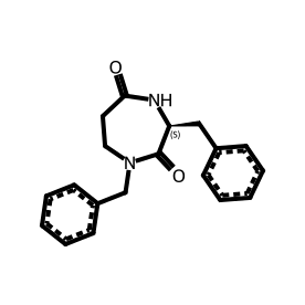 O=C1CCN(Cc2ccccc2)C(=O)[C@H](Cc2ccccc2)N1